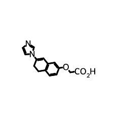 O=C(O)COc1ccc2c(c1)C=C(n1ccnc1)CC2